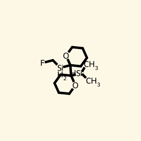 C[SiH](C)C1(C2([SiH2]CF)CCCCO2)CCCCO1